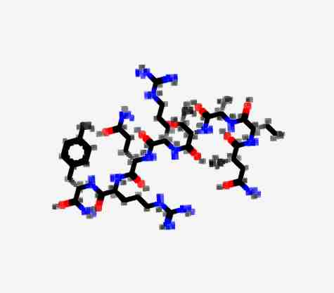 Cc1ccc(C[C@H](NC(=O)[C@H](CCCNC(=N)N)NC(=O)[C@H](CCC(N)=O)NC(=O)[C@H](CCCNC(=N)N)NC(=O)[C@@H](NC(=O)[C@@H](NC(=O)[C@H](CC(C)C)NC(=O)[C@@H](C)CC(N)=O)C(C)C)[C@@H](C)O)C(N)=O)cc1